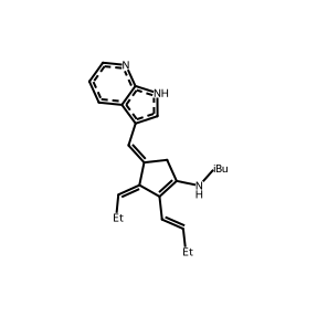 CC/C=C1\C(/C=C/CC)=C(NC(C)CC)C\C1=C/c1c[nH]c2ncccc12